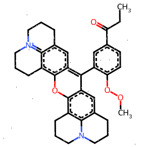 CCC(=O)c1ccc(OOC)c(C2=c3cc4c5c(c3Oc3c2cc2c6c3CCCN6CCC2)CCC[N+]=5CCC4)c1